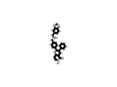 O=c1[nH]ccc2nc(-c3ccc(CNCc4ccc5c(c4)OCO5)cc3)c(-c3ccccc3)cc12